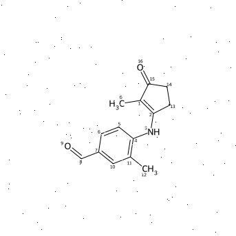 CC1=C(Nc2ccc(C=O)cc2C)CCC1=O